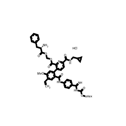 C=Cc1cc(C(=O)Nc2ccc(C(=N)NC(=O)OCCCCCC)cc2)c(-c2ccc(C(=O)NCC3CC3)nc2C(=O)OCOC(=O)[C@@H](N)Cc2ccccc2)cc1OC.Cl